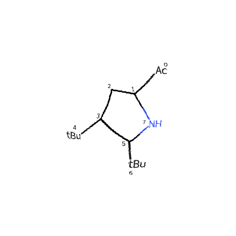 CC(=O)C1CC(C(C)(C)C)C(C(C)(C)C)N1